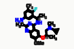 COc1cc2nc(C)nc(N[C@H](C)c3cc(N)cc(C(F)(F)F)c3F)c2cc1O[C@H](C)CN(C)C1CC1